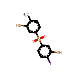 Cc1ccc(S(=O)(=O)c2ccc(I)c(S)c2)cc1S